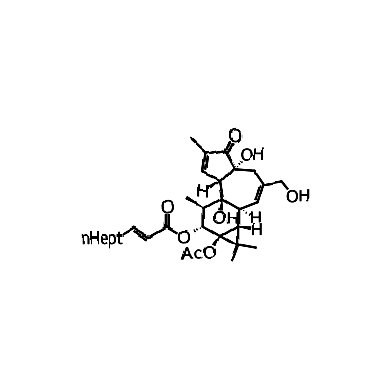 CCCCCCC/C=C/C(=O)O[C@@H]1[C@@H](C)[C@@]2(O)[C@@H](C=C(CO)C[C@]3(O)C(=O)C(C)=C[C@@H]23)[C@@H]2C(C)(C)[C@]12OC(C)=O